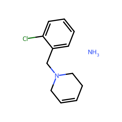 Clc1ccccc1CN1CC=CCC1.N